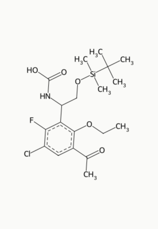 CCOc1c(C(C)=O)cc(Cl)c(F)c1C(CO[Si](C)(C)C(C)(C)C)NC(=O)O